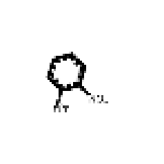 C[CH]Cc1ccccc1[N+](=O)[O-]